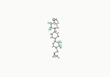 C=CCC1CCC(C2CCC(C3CCC(C)C(F)C3F)CC2)C(F)C1F